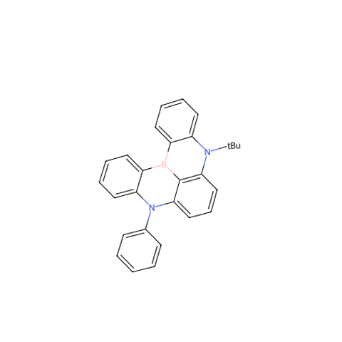 CC(C)(C)N1c2ccccc2B2c3ccccc3N(c3ccccc3)c3cccc1c32